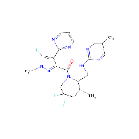 C[C@@H]1CC(F)(F)CN(C(=O)c2nn(C)c(F)c2-c2ncccn2)C1CNc1ncc(C(F)(F)F)cn1